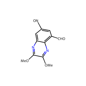 COc1nc2cc(N=O)cc(C=O)c2nc1OC